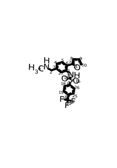 CNCc1ccc(-c2ccco2)c(NS(=O)(=O)c2ccc(C(F)(F)F)cc2)c1